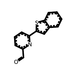 O=Cc1cccc(-c2cc3ccccc3s2)n1